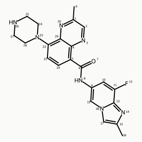 Cc1cnc2c(C(=O)Nc3cc(F)c4nc(C)cn4c3)ccc(N3CCNCC3)c2n1